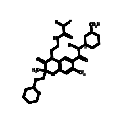 CC(C)N(C(=O)c1cc2c(cc1C(F)(F)F)OC(C)(COC1CCCCO1)C(=O)N2CCNC(=O)C(F)F)[C@@H]1CCCN(C(=O)O)C1